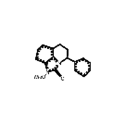 COn1c(=O)n2c3c(cccc31)CCC2c1ccccc1